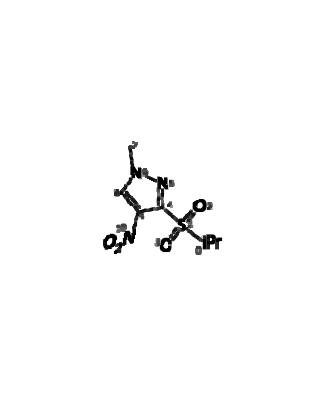 CC(C)S(=O)(=O)c1nn(C)cc1[N+](=O)[O-]